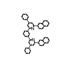 c1ccc(-c2cc(-c3cccc(-c4cc(-c5ccccc5)cc(-c5ccc6ccccc6c5)n4)c3)nc(-c3ccc4ccccc4c3)c2)cc1